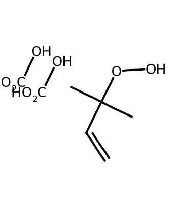 C=CC(C)(C)OO.O=C(O)O.O=C(O)O